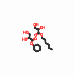 CCCCCCOC(=O)C(O)CO.O=C(OC1CCCCC1)C(O)CO